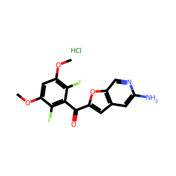 COc1cc(OC)c(F)c(C(=O)c2cc3cc(N)ncc3o2)c1F.Cl